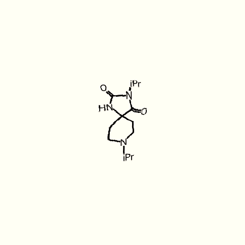 CC(C)N1CCC2(CC1)NC(=O)N(C(C)C)C2=O